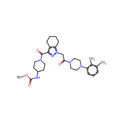 Cc1cccc(N2CCN(C(=O)Cn3nc(C(=O)N4CCC(NC(=O)OC(C)(C)C)CC4)c4c3CCCC4)CC2)c1C